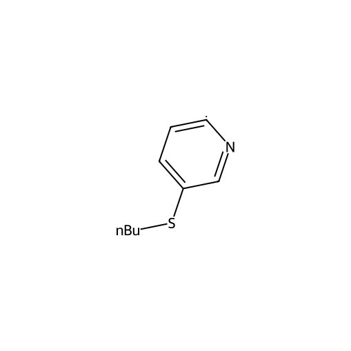 CCCCSc1cc[c]nc1